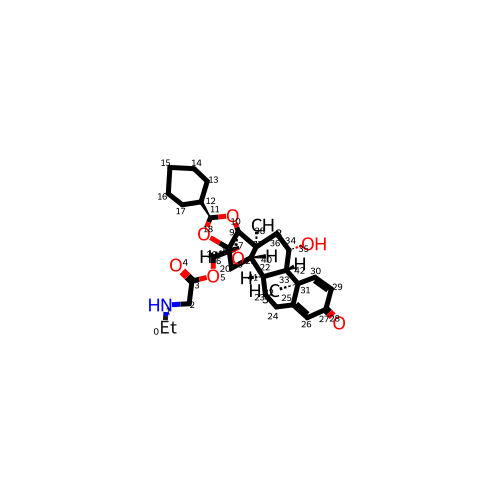 CCNCC(=O)OCC(=O)[C@@]12O[C@H](C3CCCCC3)O[C@@H]1C[C@H]1[C@@H]3CCC4=CC(=O)C=C[C@]4(C)[C@H]3[C@@H](O)C[C@@]12C